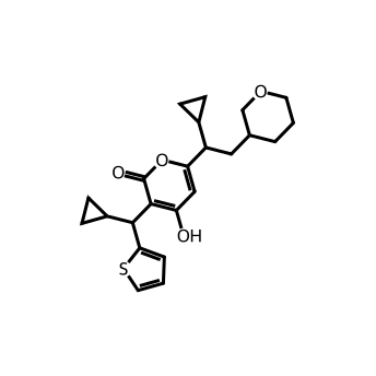 O=c1oc(C(CC2CCCOC2)C2CC2)cc(O)c1C(c1cccs1)C1CC1